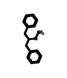 [SiH3]OC(Cc1ccccc1)Cc1ccccc1